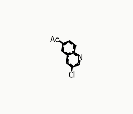 CC(=O)c1ccc2ncc(Cl)cc2c1